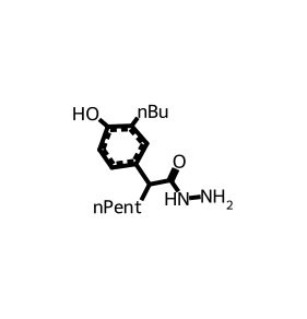 CCCCCC(C(=O)NN)c1ccc(O)c(CCCC)c1